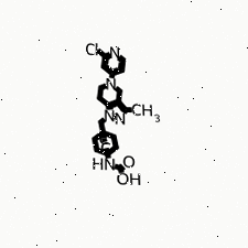 Cc1nn(CC23CCC(NC(=O)O)(CC2)CC3)c2c1CN(c1ccnc(Cl)c1)CC2